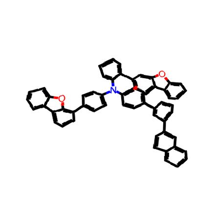 c1cc(-c2ccc(N(c3ccc(-c4cccc5c4oc4ccccc45)cc3)c3ccccc3-c3ccc4c(c3)oc3ccccc34)cc2)cc(-c2ccc3ccccc3c2)c1